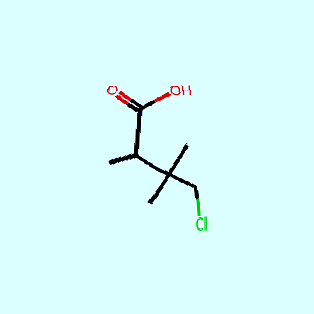 CC(C(=O)O)C(C)(C)CCl